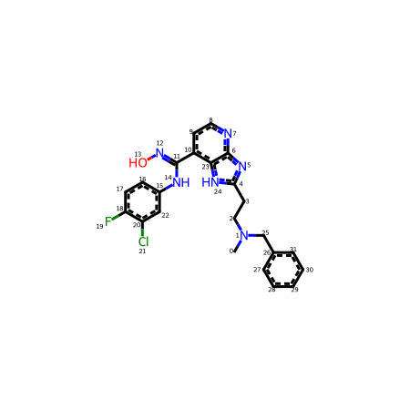 CN(CCc1nc2nccc(/C(=N/O)Nc3ccc(F)c(Cl)c3)c2[nH]1)Cc1ccccc1